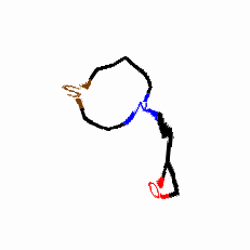 C1CSCCN(CC2CO2)C1